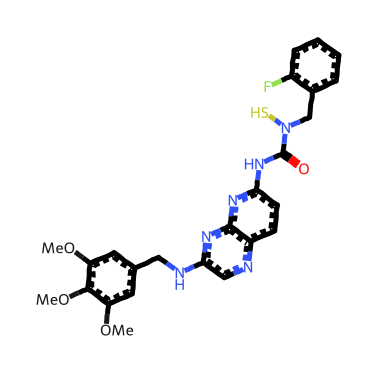 COc1cc(CNc2cnc3ccc(NC(=O)N(S)Cc4ccccc4F)nc3n2)cc(OC)c1OC